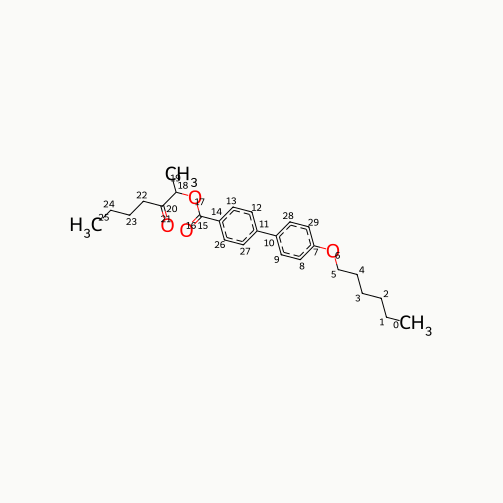 CCCCCCOc1ccc(-c2ccc(C(=O)OC(C)C(=O)CCCC)cc2)cc1